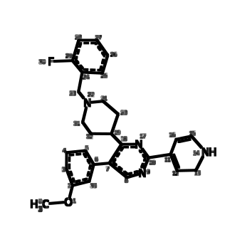 COc1cccc(-c2cnc(C3=CCNC=C3)nc2C2CCN(Cc3ccccc3F)CC2)c1